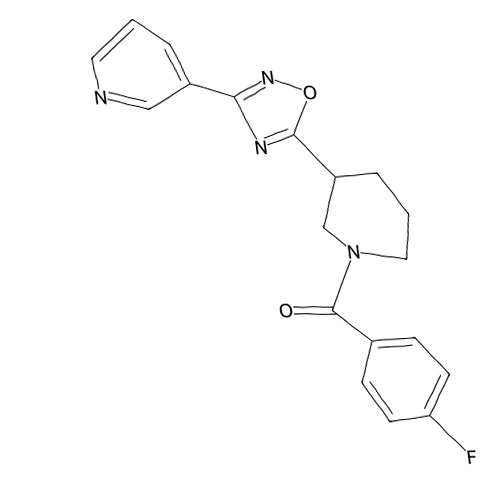 O=C(c1ccc(F)cc1)N1CCCC(c2nc(-c3cccnc3)no2)C1